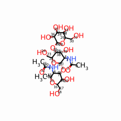 CC(=O)NC1[C@H](O[C@@H]2C(NC(C)=O)[C@@H](C)OC(CO)[C@@H]2O)OC(CO)[C@@H](O[C@@H]2OC(CO)[C@H](O)[C@H](O)C2O)[C@@H]1O